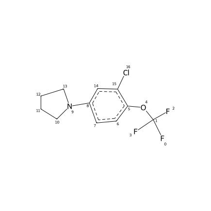 FC(F)(F)Oc1ccc(N2CCCC2)cc1Cl